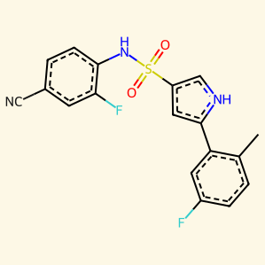 Cc1ccc(F)cc1-c1cc(S(=O)(=O)Nc2ccc(C#N)cc2F)c[nH]1